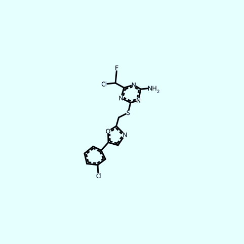 Nc1nc(SCc2ncc(-c3cccc(Cl)c3)o2)nc(C(F)Cl)n1